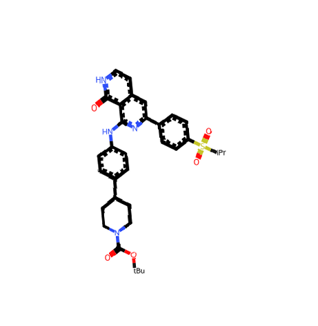 CC(C)S(=O)(=O)c1ccc(-c2cc3cc[nH]c(=O)c3c(Nc3ccc(C4CCN(C(=O)OC(C)(C)C)CC4)cc3)n2)cc1